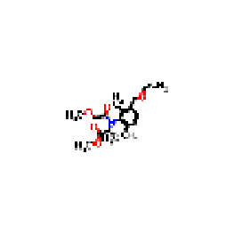 CCOCc1ccc(C)c(N(C(=O)COC)C(C)C(=O)OC)c1C